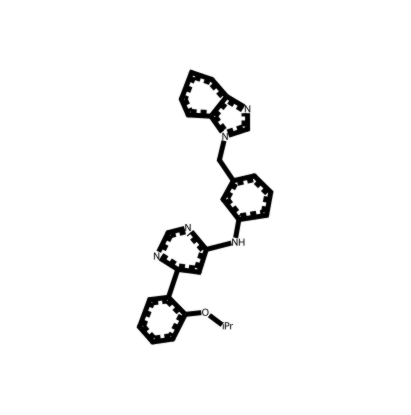 CC(C)Oc1ccccc1-c1cc(Nc2cccc(Cn3cnc4ccccc43)c2)ncn1